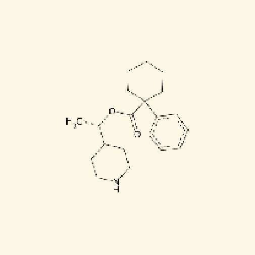 C[C@H](OC(=O)C1(c2ccccc2)CCCCC1)C1CCNCC1